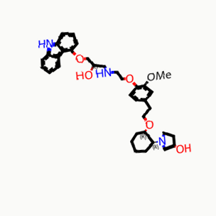 COc1cc(CCO[C@@H]2CCCC[C@H]2N2CCC(O)C2)ccc1OCCNC[C@@H](O)COc1cccc2[nH]c3ccccc3c12